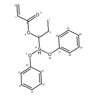 C=CC(=O)OC(CC)[SiH](Oc1ccccc1)Oc1ccccc1